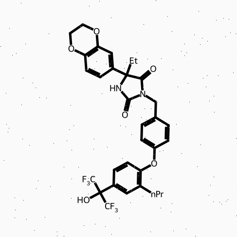 CCCc1cc(C(O)(C(F)(F)F)C(F)(F)F)ccc1Oc1ccc(CN2C(=O)NC(CC)(c3ccc4c(c3)OCCO4)C2=O)cc1